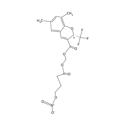 Cc1cc(C)c2c(c1)C=C(C(=O)OCOC(=O)CCCO[N+](=O)[O-])[C@@H](C(F)(F)F)O2